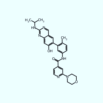 Cc1ccc(NC(=O)c2ccnc(N3CCOCC3)c2)cc1-c1cc2cnc(NC(C)C)nc2cc1O